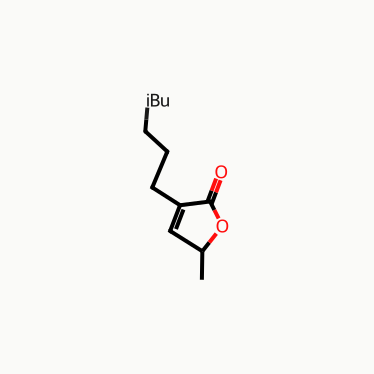 CCC(C)CCCC1=CC(C)OC1=O